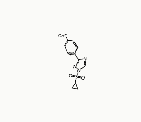 O=Cc1ccc(-c2ncn(S(=O)(=O)C3CC3)n2)cc1